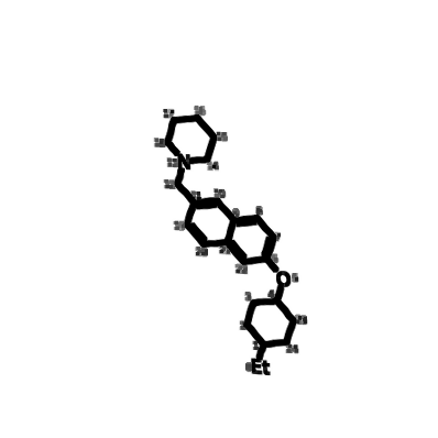 CCC1CCC(Oc2ccc3cc(CN4CCCCC4)ccc3c2)CC1